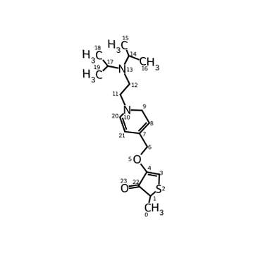 CC1SC=C(OCC2=CCN(CCN(C(C)C)C(C)C)C=C2)C1=O